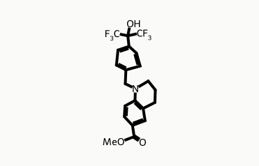 COC(=O)c1ccc2c(c1)CCCN2Cc1ccc(C(O)(C(F)(F)F)C(F)(F)F)cc1